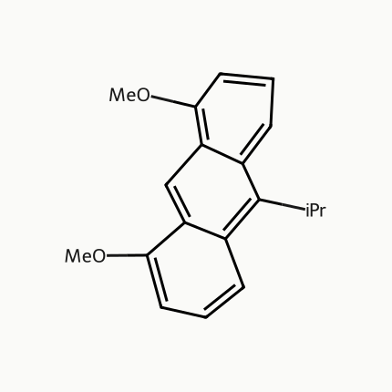 COc1cccc2c(C(C)C)c3cccc(OC)c3cc12